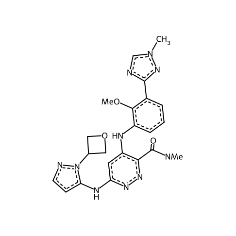 CNC(=O)c1nnc(Nc2ccnn2C2COC2)cc1Nc1cccc(-c2ncn(C)n2)c1OC